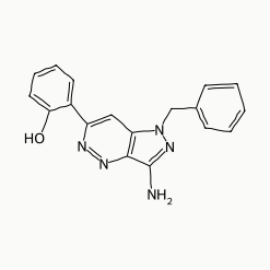 Nc1nn(Cc2ccccc2)c2cc(-c3ccccc3O)nnc12